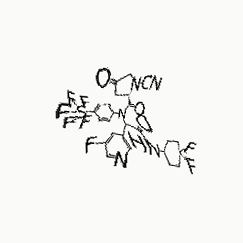 N#CN1CC(=O)C[C@@H]1C(=O)N(c1ccc(S(F)(F)(F)(F)F)cc1)C(C(=O)NC1CCC(F)(F)CC1)c1cncc(F)c1